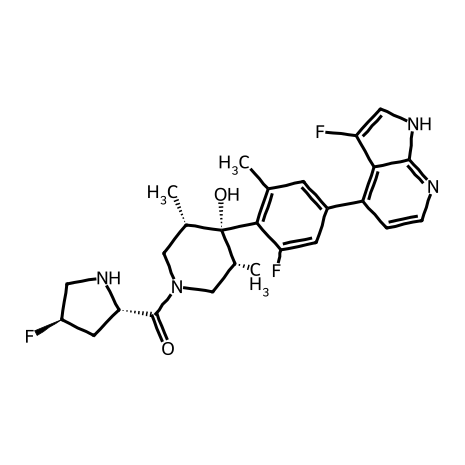 Cc1cc(-c2ccnc3[nH]cc(F)c23)cc(F)c1[C@@]1(O)[C@H](C)CN(C(=O)[C@@H]2C[C@@H](F)CN2)C[C@@H]1C